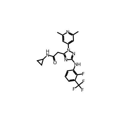 Cc1cc(-n2nc(Nc3cccc(C(F)(F)F)c3F)nc2CC(=O)NC2CC2)cc(C)n1